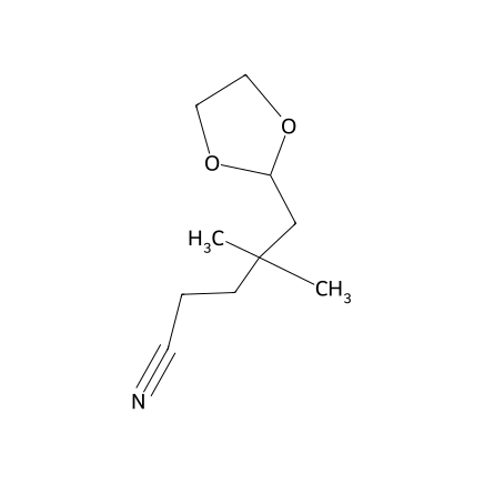 CC(C)(CCC#N)CC1OCCO1